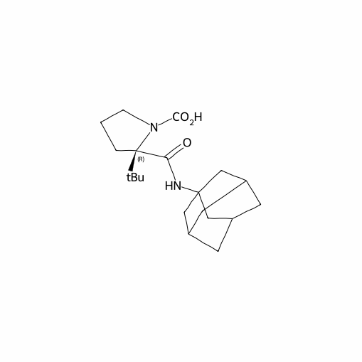 CC(C)(C)[C@@]1(C(=O)NC23CC4CC(CC(C4)C2)C3)CCCN1C(=O)O